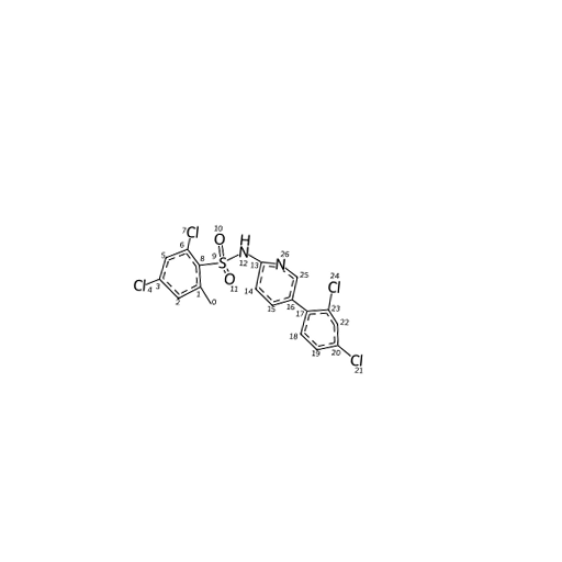 Cc1cc(Cl)cc(Cl)c1S(=O)(=O)Nc1ccc(-c2ccc(Cl)cc2Cl)cn1